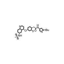 CC(C)(C)n1cc(NC(=O)Cc2ccc(Oc3ccnc4ccc(NS(C)(=O)=O)cc34)cc2F)cn1